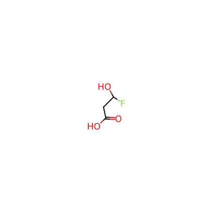 O=C(O)CC(O)F